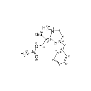 CN1CCN(Cc2ccccc2)C[C@H]1C(COC(N)=O)C(C)(C)C